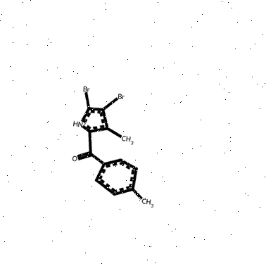 Cc1ccc(C(=O)c2[nH]c(Br)c(Br)c2C)cc1